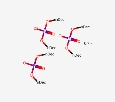 CCCCCCCCCCOP(=O)([O-])OCCCCCCCCCC.CCCCCCCCCCOP(=O)([O-])OCCCCCCCCCC.CCCCCCCCCCOP(=O)([O-])OCCCCCCCCCC.[Cr+3]